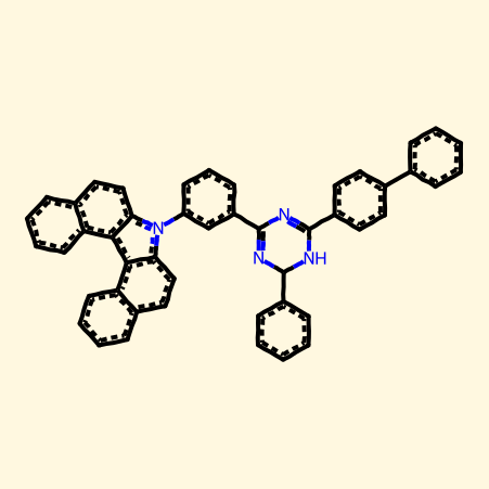 c1ccc(-c2ccc(C3=NC(c4cccc(-n5c6ccc7ccccc7c6c6c7ccccc7ccc65)c4)=NC(c4ccccc4)N3)cc2)cc1